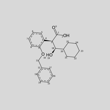 O=C(O)[C@H](c1ccccc1OCc1ccccc1)[C@H](O)C1CCCCC1